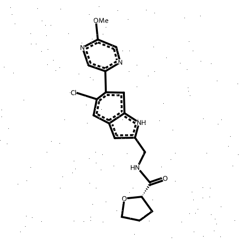 COc1cnc(-c2cc3[nH]c(CNC(=O)[C@@H]4CCCO4)cc3cc2Cl)cn1